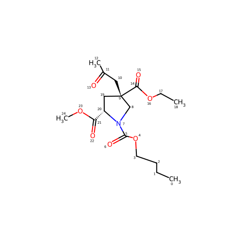 CCCCOC(=O)N1C[C@@](CC(C)=O)(C(=O)OCC)C[C@H]1C(=O)OC